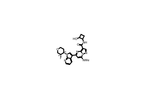 CNc1cc(-c2cn([C@@H]3CCOC[C@@H]3F)c3ncccc23)nc2c(C(=O)NC3CCC3O)cnn12